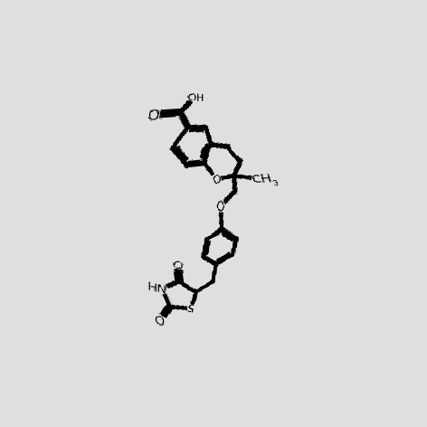 CC1(COc2ccc(CC3SC(=O)NC3=O)cc2)CCc2cc(C(=O)O)ccc2O1